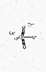 [Cs+].[Cs+].[O]=[Cr](=[O])([O-])[O-]